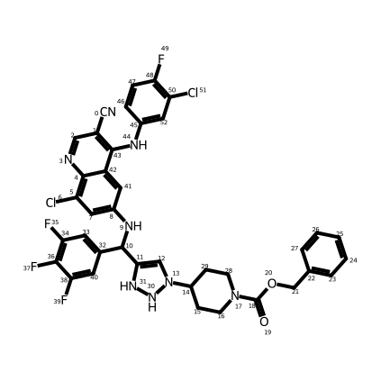 N#Cc1cnc2c(Cl)cc(NC(C3=CN(C4CCN(C(=O)OCc5ccccc5)CC4)NN3)c3cc(F)c(F)c(F)c3)cc2c1Nc1ccc(F)c(Cl)c1